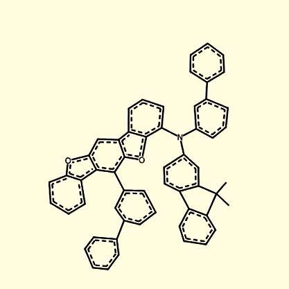 CC1(C)c2ccccc2-c2ccc(N(c3cccc(-c4ccccc4)c3)c3cccc4c3oc3c(-c5cccc(-c6ccccc6)c5)c5c(cc34)oc3ccccc35)cc21